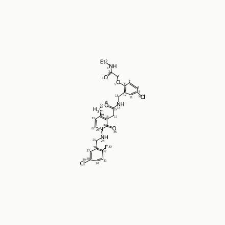 CCNC(=O)COc1ccc(Cl)cc1CNC(=O)Cc1c(C)ccn(NCc2cc(Cl)ccc2F)c1=O